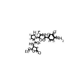 CCO[C@@H]1OC(=O)CC1NC(=O)[C@@H]1CCCN1C(=O)[C@H](C)NC(=O)c1ccc(N)c(Cl)c1